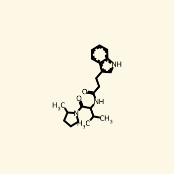 CC(C)C(NC(=O)CCc1c[nH]c2ccccc12)C(=O)N1CCCC1C